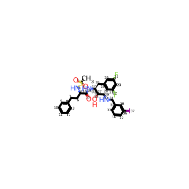 CS(=O)(=O)NC(CCc1ccccc1)C(=O)N[C@@H](Cc1cc(F)cc(F)c1)[C@H](O)CNCc1cccc(I)c1